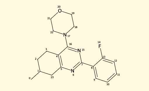 CC1CCc2c(nc(-c3ccccc3F)nc2N2CCOCC2)C1